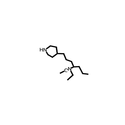 CCCC(CCCC1CCNCC1)N(CC)CC